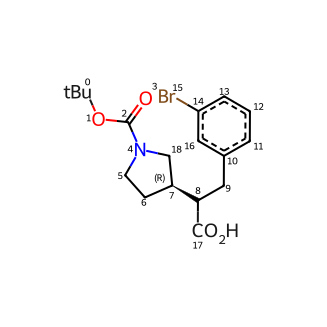 CC(C)(C)OC(=O)N1CC[C@H](C(Cc2cccc(Br)c2)C(=O)O)C1